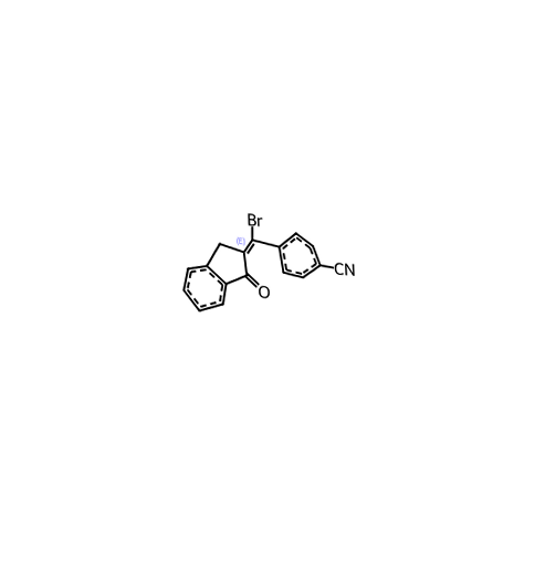 N#Cc1ccc(/C(Br)=C2/Cc3ccccc3C2=O)cc1